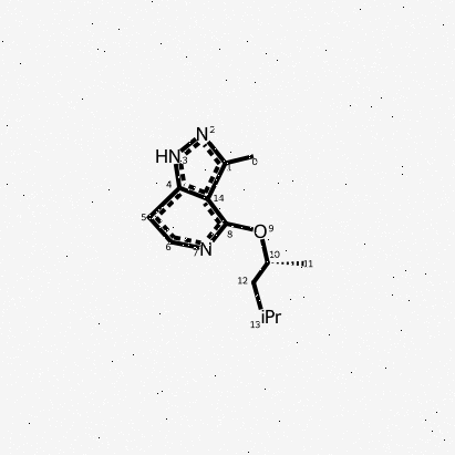 Cc1n[nH]c2ccnc(O[C@H](C)CC(C)C)c12